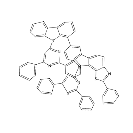 c1ccc(-c2cc(-n3c4ccccc4c4cccc(-c5ccc6c(c5)c5ccc7nc(-c8ccccc8)sc7c5n6-c5cc(-c6ccccc6)nc(-c6ccccc6)n5)c43)nc(-c3ccccc3)n2)cc1